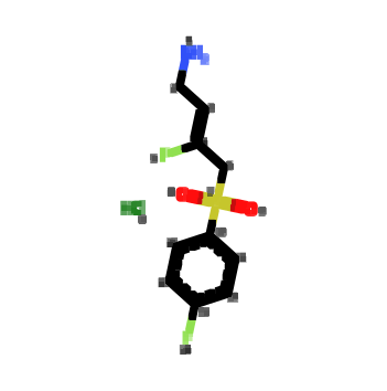 Cl.NC/C=C(\F)CS(=O)(=O)c1ccc(F)cc1